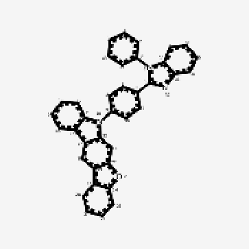 c1ccc(-n2c(-c3ccc(-n4c5ccccc5c5cc6c(cc54)oc4ccccc46)cc3)nc3ccccc32)cc1